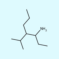 CCCC(C(C)C)C(N)CC